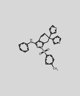 Cc1ccc(S(=O)(=O)n2nc(Nc3ccccc3)c3c2CC(c2ccsc2)(c2ccsc2)C=C3)cc1